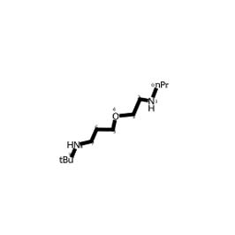 CCCNCCOCCCNC(C)(C)C